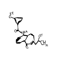 CCOc1cccc(C(=O)Nc2cccc3c(=O)n(CC(C)O)ccc23)c1